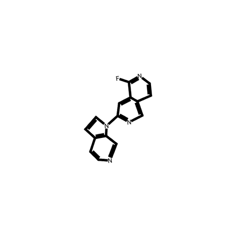 Fc1nccc2cnc(-n3ccc4ccncc43)cc12